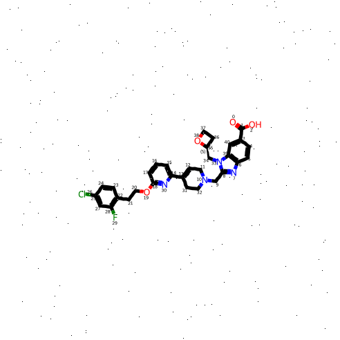 O=C(O)c1ccc2nc(CN3CC=C(c4cccc(OCCc5ccc(Cl)cc5F)n4)CC3)n(C[C@@H]3CCO3)c2c1